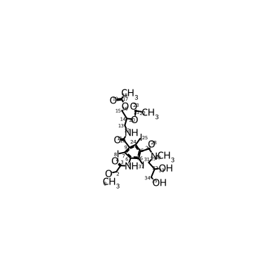 COCC(=O)Nc1c(I)c(C(=O)NCC(COC(C)=O)OC(C)=O)c(I)c(C(=O)N(C)CC(O)CO)c1I